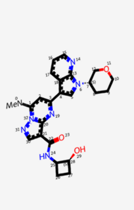 CNc1cc(-c2cn([C@H]3CCCOC3)c3ncccc23)nc2c(C(=O)NC3CC[C@@H]3O)cnn12